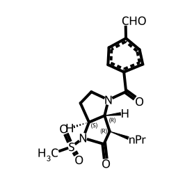 CCC[C@H]1C(=O)N(S(C)(=O)=O)[C@H]2CCN(C(=O)c3ccc(C=O)cc3)[C@H]12